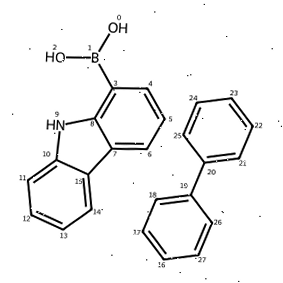 OB(O)c1cccc2c1[nH]c1ccccc12.c1ccc(-c2ccccc2)cc1